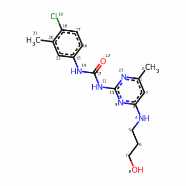 Cc1cc(NCCCO)nc(NC(=O)Nc2ccc(Cl)c(C)c2)n1